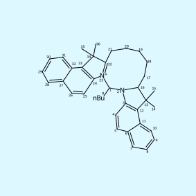 CCCCC1N2c3ccc4ccccc4c3C(C)(C)C2CCCCCC2=[N+]1c1ccc3ccccc3c1C2(C)C